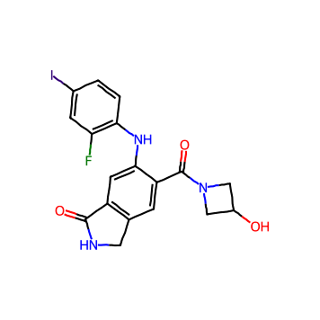 O=C1NCc2cc(C(=O)N3CC(O)C3)c(Nc3ccc(I)cc3F)cc21